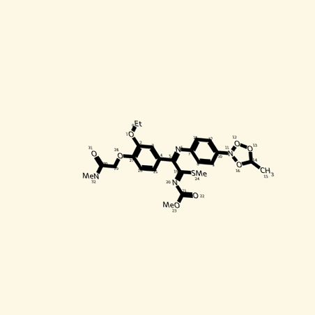 CCOc1cc(C(=Nc2ccc(N3OOC(C)O3)cc2)C(=NC(=O)OC)SC)ccc1OCC(=O)NC